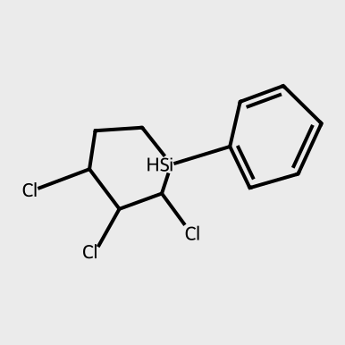 ClC1CC[SiH](c2ccccc2)C(Cl)C1Cl